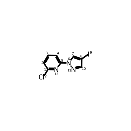 Clc1cccc(-n2cc(I)cn2)n1